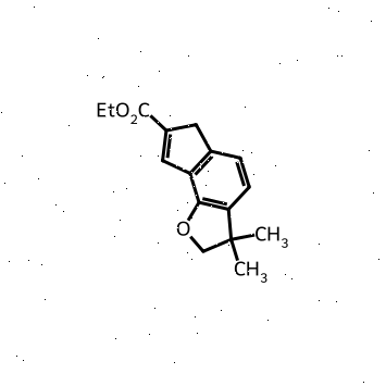 CCOC(=O)C1=Cc2c(ccc3c2OCC3(C)C)C1